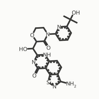 CC(C)(O)c1cccc(N2CCOC(C(O)c3nc(=O)c4c(ccc5c(N)nsc54)[nH]3)C2=O)n1